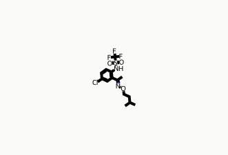 C/C(=N\OCCC(C)C)c1cc(Cl)ccc1NS(=O)(=O)C(F)(F)F